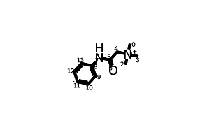 C[N+](C)(C)CC(=O)Nc1cc[c]cc1